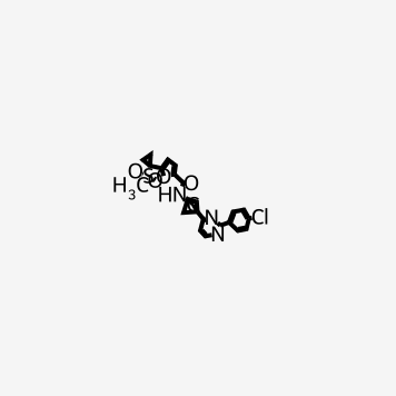 CS(=O)(=O)C1(c2ccc(C(=O)NC34CC(c5ccnc(-c6ccc(Cl)cc6)n5)(C3)C4)o2)CC1